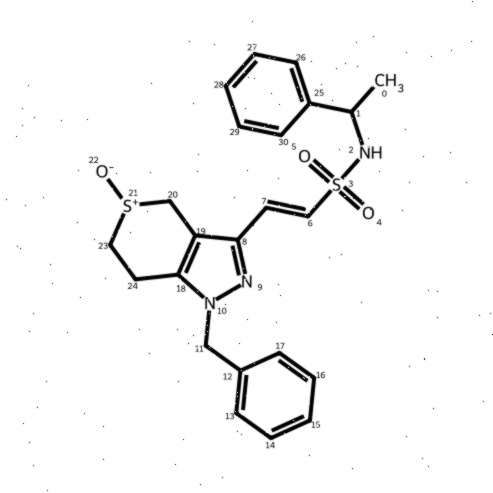 CC(NS(=O)(=O)/C=C/c1nn(Cc2ccccc2)c2c1C[S+]([O-])CC2)c1ccccc1